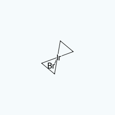 [Br][Ir]12([CH2][CH2]1)[CH2][CH2]2